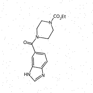 CCOC(=O)N1CCN(C(=O)c2ccc3nc[nH]c3c2)CC1